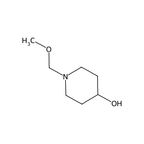 COCN1CCC(O)CC1